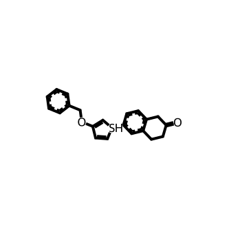 O=C1CCc2cc([SH]3C=CC(OCc4ccccc4)=C3)ccc2C1